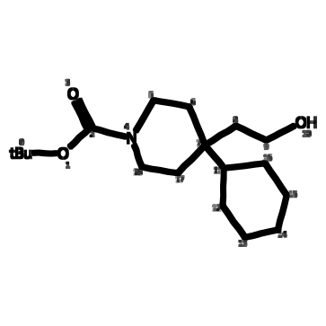 CC(C)(C)OC(=O)N1CCC(CCO)(C2CCCCC2)CC1